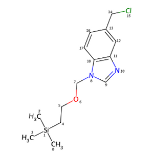 C[Si](C)(C)CCOCn1cnc2cc(CCl)ccc21